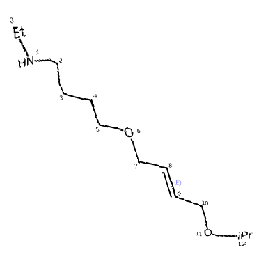 CCNCCCCOC/C=C/COC(C)C